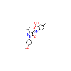 COc1ccc(N2N=C(C(C)C)C(/C=N/c3ccc(C)cc3C(=O)O)C2=O)cc1